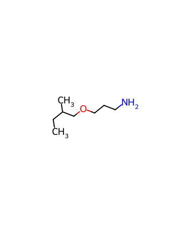 CCC(C)COCCCN